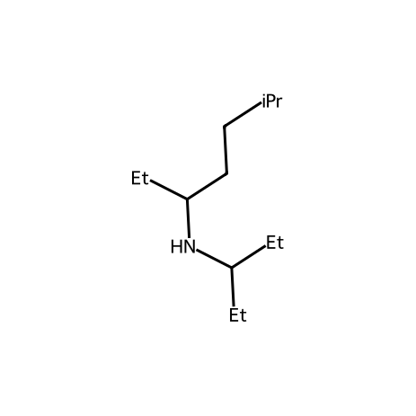 CCC(CC)NC(CC)CCC(C)C